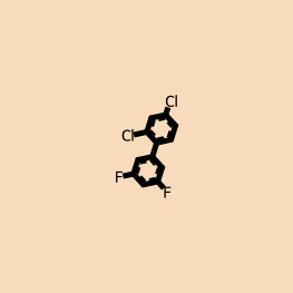 Fc1cc(F)cc(-c2ccc(Cl)cc2Cl)c1